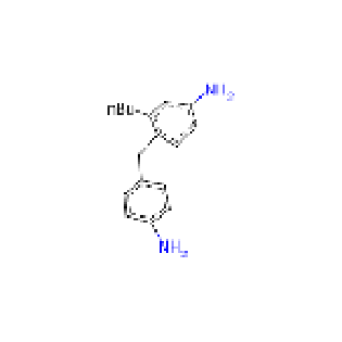 CCCCc1cc(N)ccc1Cc1ccc(N)cc1